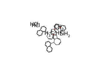 CC1=[C]([Hf](=[SiH2])([C]2=C(C)C=C3C2=CC=CCC3c2cccc3ccccc23)([c]2ccccc2)[c]2ccccc2)C2=CC=CCC(c3cccc4ccccc34)C2=C1.Cl.Cl